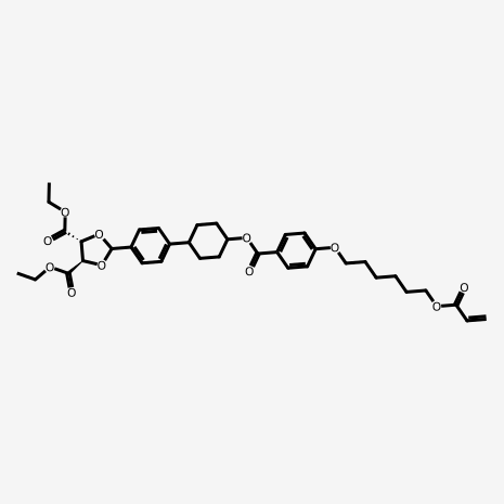 C=CC(=O)OCCCCCCOc1ccc(C(=O)OC2CCC(c3ccc(C4O[C@@H](C(=O)OCC)[C@H](C(=O)OCC)O4)cc3)CC2)cc1